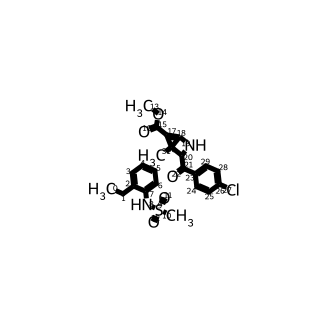 CCc1ccccc1NS(C)(=O)=O.COC(=O)C1=C2NC(C(=O)c3ccc(Cl)cc3)C21C